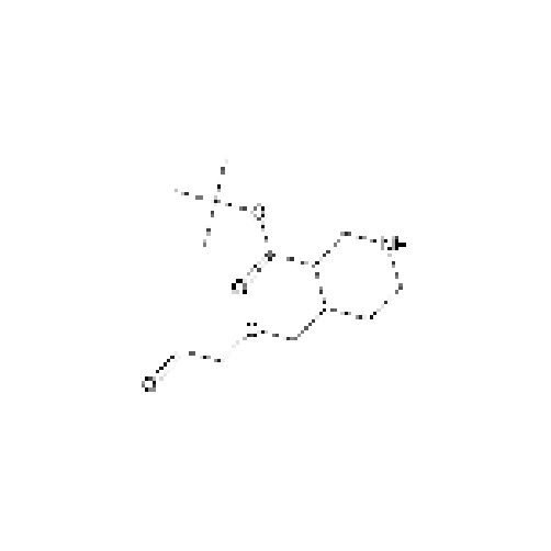 CC(C)(C)OC(=O)C1CNCCC1COCC=O